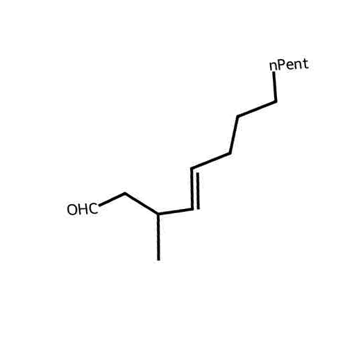 CCCCCCCCC=CC(C)CC=O